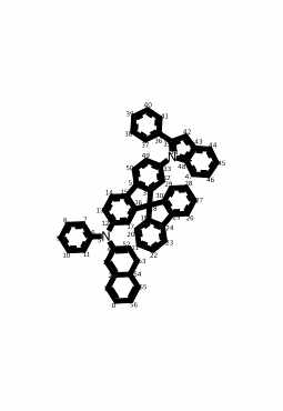 C1=CC2=CC(N(c3ccccc3)c3ccc4c(c3)C3(c5ccccc5-c5ccccc53)c3cc(-n5c(-c6ccccc6)cc6ccccc65)ccc3-4)=CCC2C=C1